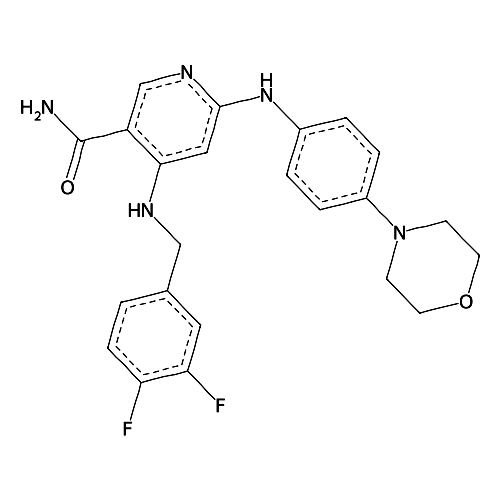 NC(=O)c1cnc(Nc2ccc(N3CCOCC3)cc2)cc1NCc1ccc(F)c(F)c1